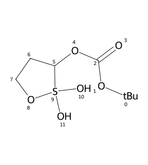 CC(C)(C)OC(=O)OC1CCOS1(O)O